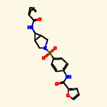 C=CC(=O)NC1C2CN(S(=O)(=O)c3ccc(NC(=O)c4ccco4)cc3)CC21